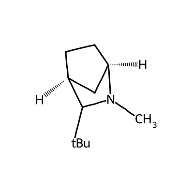 CN1C(C(C)(C)C)[C@H]2CC[C@@H]1C2